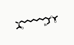 CC(=O)OC(CBr)CCCCCCCCCN(C)C(C)=O